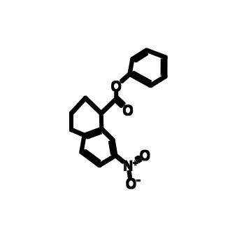 O=C(Oc1ccccc1)C1CCCc2ccc([N+](=O)[O-])cc21